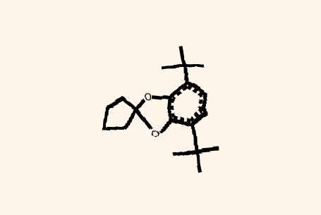 CC(C)(C)c1ccc(C(C)(C)C)c2c1OC1(CCCC1)O2